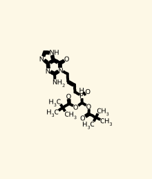 CC(C)(C)C(=O)OC(OC(=O)C(C)(C)C)[PH](=O)CC=CCn1c(N)nc2nc[nH]c2c1=O